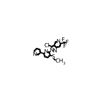 CCSc1ccc(-c2cccnc2)nc1-n1nc2cc(C(F)(F)F)ncc2c1Cl